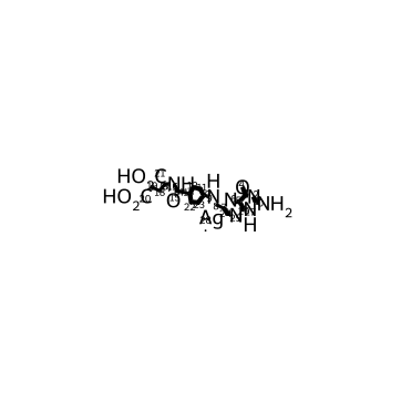 Nc1nc(=O)c2nc(CNc3ccc(C(=O)N[C@@H](CCC(=O)O)C(=O)O)cc3)cnc2[nH]1.[Ag]